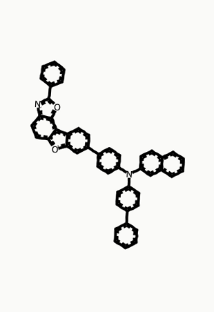 c1ccc(-c2ccc(N(c3ccc(-c4ccc5c(c4)oc4ccc6nc(-c7ccccc7)oc6c45)cc3)c3ccc4ccccc4c3)cc2)cc1